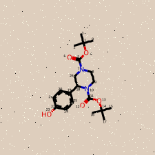 CC(C)(C)OC(=O)N1CCN(C(=O)OC(C)(C)C)C(c2ccc(O)cc2)C1